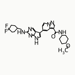 CO[C@H]1CC[C@H](NC(=O)c2cnn3ccc(-c4c[nH]c5nc(NCC6CCC(F)(F)CC6)ncc45)cc23)CC1